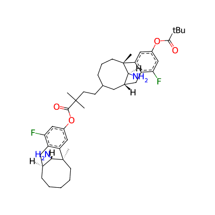 CC(C)(C)C(=O)Oc1cc(F)c2c(c1)[C@@]1(C)CCCC(CCC(C)(C)C(=O)Oc3cc(F)c4c(c3)[C@@]3(C)CCCCC[C@@H](C4)[C@@H]3N)C[C@@H](C2)[C@@H]1N